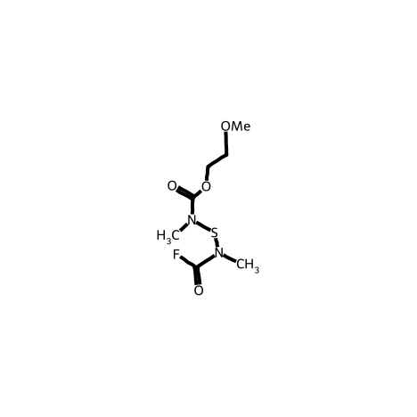 COCCOC(=O)N(C)SN(C)C(=O)F